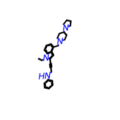 CCn1c(C#CCNc2ccccc2)cc2c(CN3CCC(N4CCCC4)CC3)cccc21